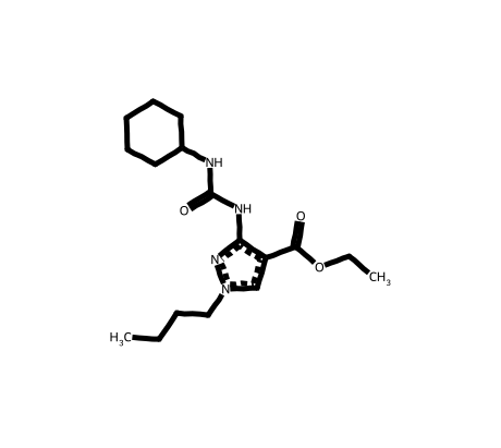 CCCCn1cc(C(=O)OCC)c(NC(=O)NC2CCCCC2)n1